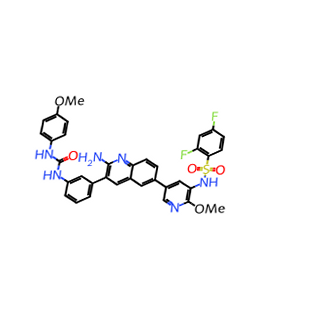 COc1ccc(NC(=O)Nc2cccc(-c3cc4cc(-c5cnc(OC)c(NS(=O)(=O)c6ccc(F)cc6F)c5)ccc4nc3N)c2)cc1